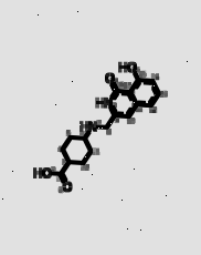 O=C(O)C1CCC(NCc2cc3cccc(O)c3c(=O)[nH]2)CC1